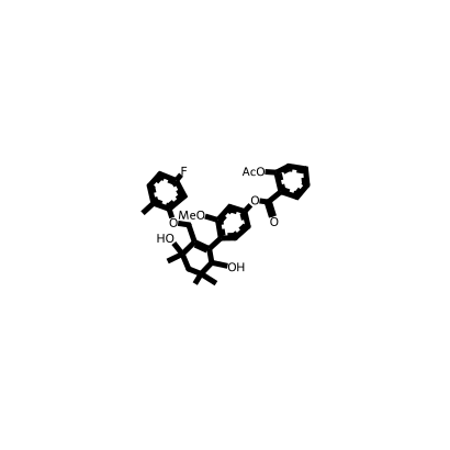 COc1cc(OC(=O)c2ccccc2OC(C)=O)ccc1C1=C(COc2cc(F)ccc2C)C(C)(O)CC(C)(C)C1O